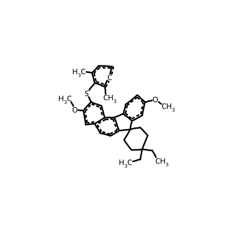 CCC1(CC)CCC2(CC1)c1cc(OC)ccc1-c1c2ccc2cc(OC)c(Sc3c(C)cccc3C)cc12